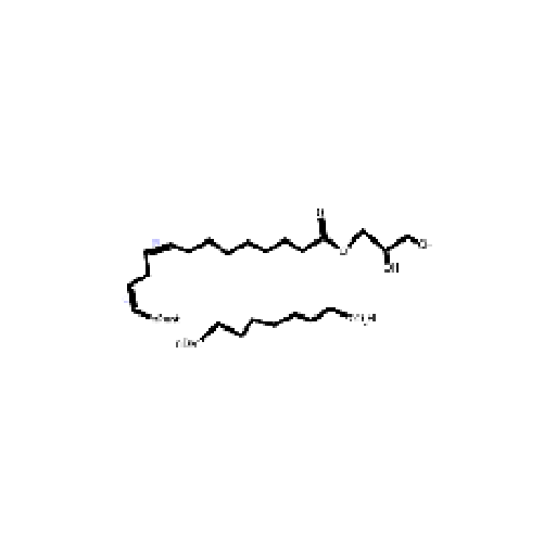 CCCCC/C=C\C/C=C\CCCCCCCC(=O)OCC(O)CO.CCCCCCCCCCCCCCCCCC(=O)O